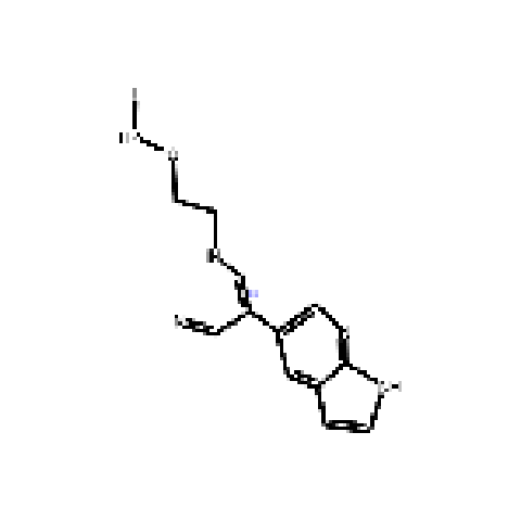 N=C/C(=C\NCCOPI)c1cnc2[nH]ccc2c1